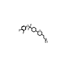 CCOCCC1CCC(C2CCC(C(F)(F)Oc3ccc(F)c(F)c3)CC2)OC1